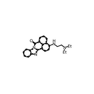 CCN(CC)CCNc1ccc2c3c1cccc3c(=O)n1c3ccccc3nc21